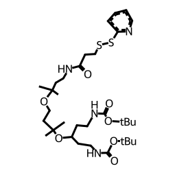 CC(C)(C)OC(=O)NCCC(CCNC(=O)OC(C)(C)C)OC(C)(C)CCOC(C)(C)CCNC(=O)CCSSc1ccccn1